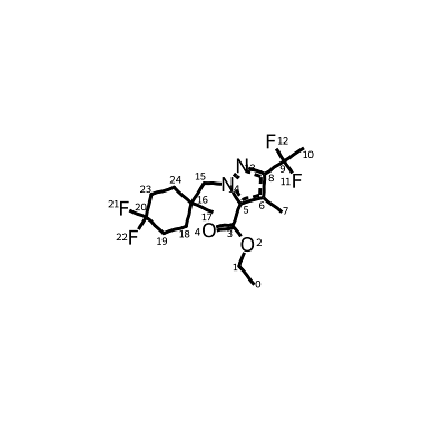 CCOC(=O)c1c(C)c(C(C)(F)F)nn1CC1(C)CCC(F)(F)CC1